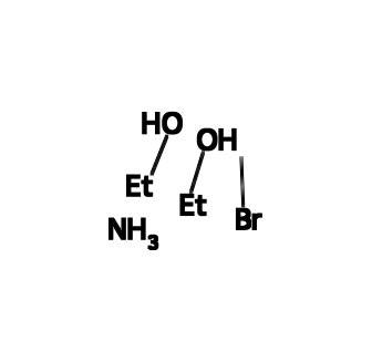 CBr.CCO.CCO.N